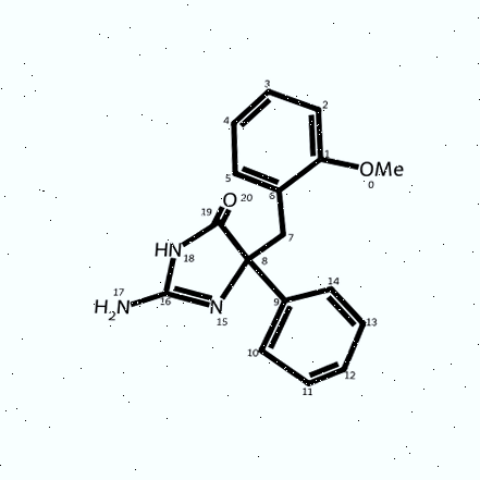 COc1ccccc1CC1(c2ccccc2)N=C(N)NC1=O